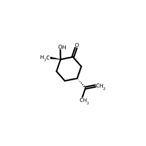 C=C(C)[C@@H]1CC[C@](C)(O)C(=O)C1